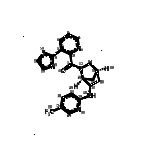 O=C(c1ncccc1-c1nccs1)N1C[C@H]2C[C@@H](Nc3ccc(C(F)(F)F)cn3)[C@@H]1C2